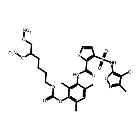 Cc1cc(C)c(OC(=O)OCCCCC(CO[N+](=O)[O-])O[N+](=O)[O-])c(C)c1NC(=O)c1sccc1S(=O)(=O)Nc1onc(C)c1Cl